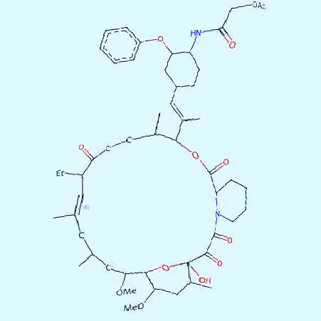 CCC1/C=C(\C)CC(C)CC(OC)C2OC(O)(C(=O)C(=O)N3CCCCC3C(=O)OC(C(C)=CC3CCC(NC(=O)COC(C)=O)C(Oc4ccccc4)C3)C(C)CCC1=O)C(C)CC2OC